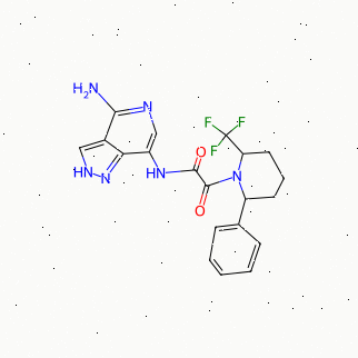 Nc1ncc(NC(=O)C(=O)N2C(c3ccccc3)CCCC2C(F)(F)F)c2n[nH]cc12